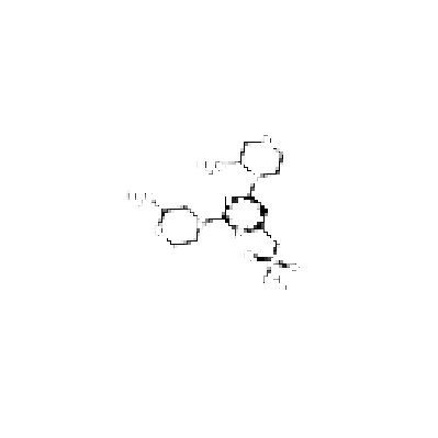 C[C@H]1CN(c2nc(CS(C)(=O)=O)cc(N3CCOC[C@@H]3C)n2)CCO1